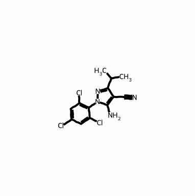 CC(C)c1nn(-c2c(Cl)cc(Cl)cc2Cl)c(N)c1C#N